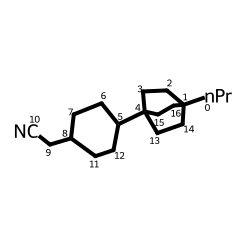 CCCC12CCC(C3CCC(CC#N)CC3)(CC1)CC2